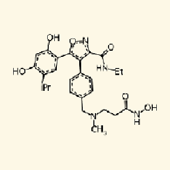 CCNC(=O)c1noc(-c2cc(C(C)C)c(O)cc2O)c1-c1ccc(CN(C)CCC(=O)NO)cc1